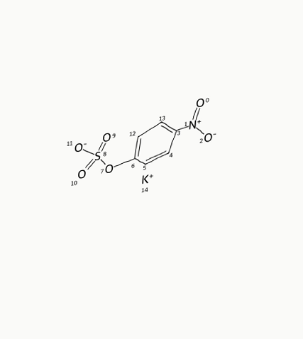 O=[N+]([O-])c1ccc(OS(=O)(=O)[O-])cc1.[K+]